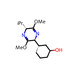 COC1=N[C@H](C(C)C)C(OC)=N[C@H]1[C@H]1CCCC(O)C1